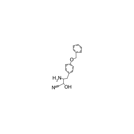 N#CC(O)C(N)Cc1ccc(OCc2ccccc2)cc1